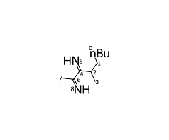 CCCCCC(C)C(=N)C(C)=N